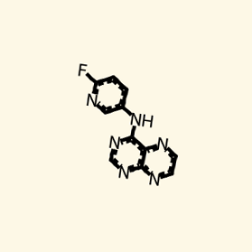 Fc1ccc(Nc2ncnc3nccnc23)cn1